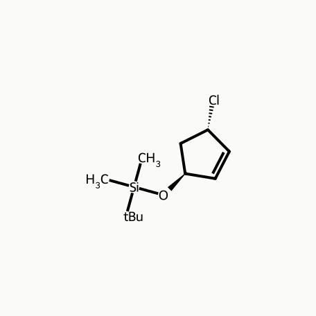 CC(C)(C)[Si](C)(C)O[C@@H]1C=C[C@@H](Cl)C1